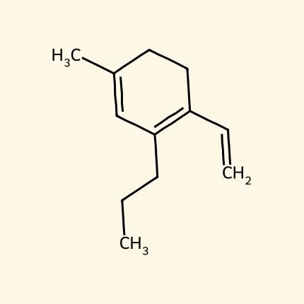 C=CC1=C(CCC)C=C(C)CC1